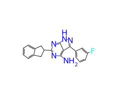 Nc1nc(C2Cc3ccccc3C2)nc2[nH]nc(-c3cccc(F)c3)c12